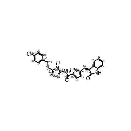 O=C1Nc2ccccc2/C1=C/c1ccc(C(=O)Nc2nnc(SCc3ccc(Cl)cc3)[nH]2)[nH]1